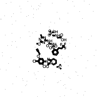 C#CCOc1cc(-n2nc3n(c2=O)CCCC3)c(Cl)cc1Cl.COc1nc(C)nc(NC(=O)NS(=O)(=O)c2ccccc2CCC(F)(F)F)n1.C[S+](C)C.O=C(O)CNCP(=O)([O-])O